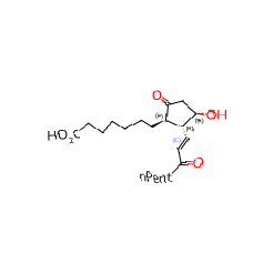 CCCCCC(=O)/C=C/[C@H]1[C@H](O)CC(=O)[C@@H]1CCCCCCC(=O)O